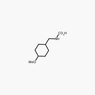 COC1CCC(CNC(=O)O)CC1